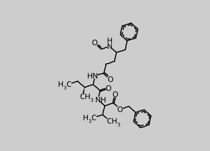 CC[C@H](C)C(NC(=O)CCC(Cc1ccccc1)NC=O)C(=O)NC(C(=O)OCc1ccccc1)C(C)C